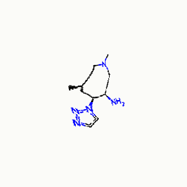 C[C@H]1CN(C)C[C@@H](N)[C@H]1n1ccnn1